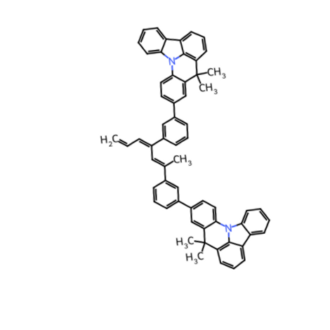 C=C/C=C(\C=C(/C)c1cccc(-c2ccc3c(c2)C(C)(C)c2cccc4c5ccccc5n-3c24)c1)c1cccc(-c2ccc3c(c2)C(C)(C)c2cccc4c5ccccc5n-3c24)c1